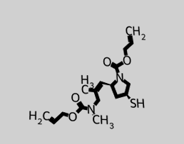 C=CCOC(=O)N(C)C/C(C)=C\[C@@H]1C[C@H](S)CN1C(=O)OCC=C